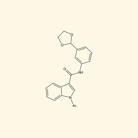 CC(=O)n1cc(C(=O)Nc2cccc(C3OCCO3)c2)c2ccccc21